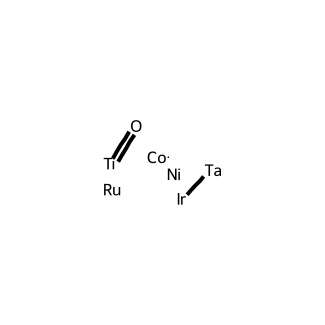 [Co].[Ni].[O]=[Ti].[Ru].[Ta][Ir]